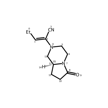 CCC=C(C#N)N1CCN2C(=O)CC[C@H]2C1